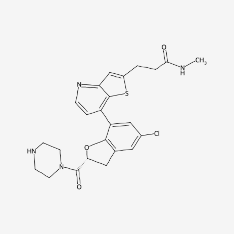 CNC(=O)CCc1cc2nccc(-c3cc(Cl)cc4c3O[C@@H](C(=O)N3CCNCC3)C4)c2s1